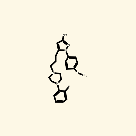 CCCc1cc(CCCN2CCN(c3ccccc3F)CC2)n(-c2ccc(OC(F)(F)F)cc2)n1